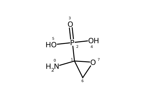 NC1(P(=O)(O)O)CO1